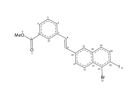 COC(=O)c1cccc(C=Cc2ccc3c(Br)c(I)ccc3c2)c1